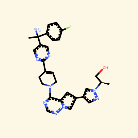 C[C@H](CO)n1cc(-c2cc3c(N4CC=C(c5ncc(C(C)(N)c6ccc(F)cc6)cn5)CC4)ncnn3c2)cn1